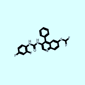 O=C(Nc1ccc(F)cc1F)Nc1cnc2ccc(SC(F)F)cc2c1-c1ccccc1